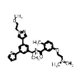 COCCn1cc(-c2cc(-c3cccs3)cc([C@@H](C)NC(=O)c3cc(OCCN(C)C)ccc3C)c2)cn1